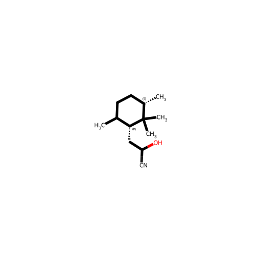 CC1CC[C@H](C)C(C)(C)[C@@H]1CC(O)C#N